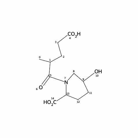 CC(CCC(=O)O)C(=O)N1CC(O)CCC1C(=O)O